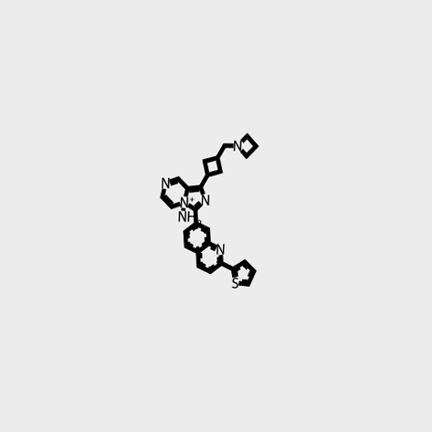 N[N+]12C=CN=CC1=C(C1CC(CN3CCC3)C1)N=C2c1ccc2ccc(-c3cccs3)nc2c1